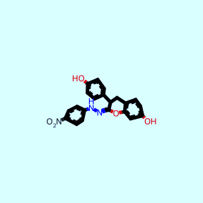 O=[N+]([O-])c1ccc(NN=C2Oc3cc(O)ccc3CC2c2ccc(O)cc2)cc1